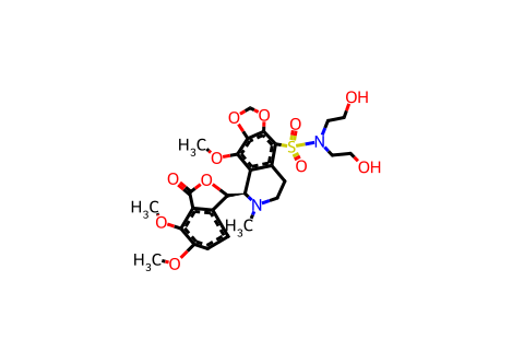 COc1ccc2c(c1OC)C(=O)OC2[C@H]1c2c(c(S(=O)(=O)N(CCO)CCO)c3c(c2OC)OCO3)CCN1C